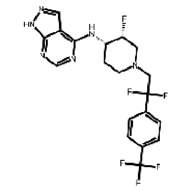 F[C@@H]1CN(CC(F)(F)c2ccc(C(F)(F)F)cc2)CC[C@@H]1Nc1ncnc2[nH]ncc12